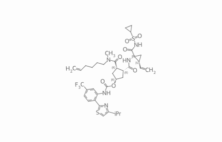 C=CCCCCN(C)C(=O)[C@@H]1C[C@H](OC(=O)Nc2cc(C(F)(F)F)ccc2-c2nc(C(C)C)cs2)C[C@H]1C(=O)N[C@]1(C(=O)NS(=O)(=O)C2CC2)C[C@H]1C=C